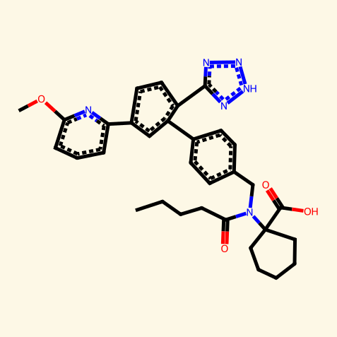 CCCCC(=O)N(Cc1ccc(-c2cc(-c3cccc(OC)n3)ccc2-c2nn[nH]n2)cc1)C1(C(=O)O)CCCCC1